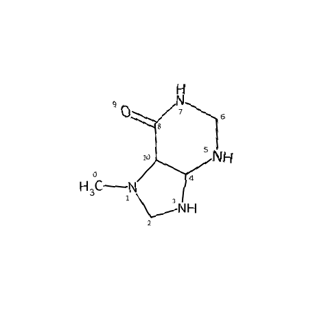 CN1CNC2NCNC(=O)C21